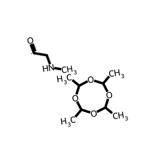 CC1OC(C)OC(C)OC(C)O1.CNC[C]=O